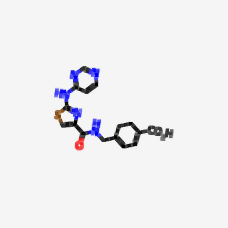 O=C(O)C1=CC=C(CNC(=O)c2csc(Nc3ccncn3)n2)CC1